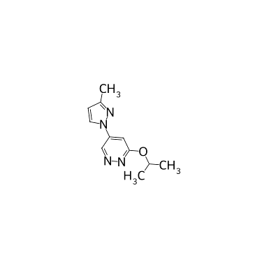 Cc1ccn(-c2cnnc(OC(C)C)c2)n1